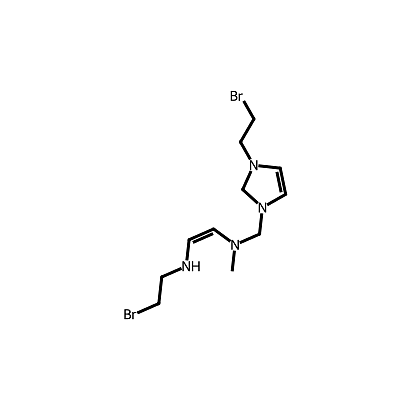 CN(/C=C\NCCBr)CN1C=CN(CCBr)C1